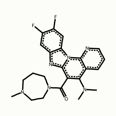 CN1CCCN(C(=O)c2c(N(C)C)c3cccnc3n3c2nc2cc(F)c(F)cc23)CC1